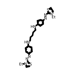 CC[n+]1ccsc1/N=N/c1ccc(NCCCCCNc2ccc(/N=N/c3scc[n+]3CC)cc2)cc1